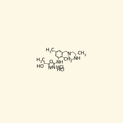 Cc1cc(CN2CCN[C@@H](C)C2)c(C)c(Nc2nnc([C@H](C)O)o2)c1.Cl.Cl